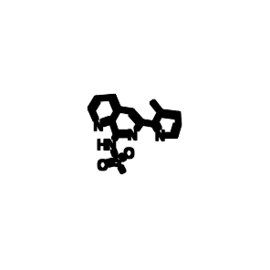 Cc1cccnc1-c1cc2cccnc2c(NS(C)(=O)=O)n1